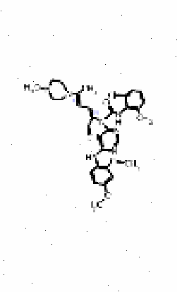 C=C/C(=C\C=C(/C)N1CCN(C)CC1)N(C(=O)Nc1c(C)cccc1Cl)c1cc(Nc2ccc(OC)cc2OC)ncn1